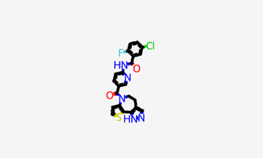 O=C(Nc1ccc(C(=O)N2CCc3cn[nH]c3-c3sccc32)cn1)c1cc(Cl)ccc1F